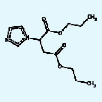 CCCOC(=O)CC(C(=O)OCCC)n1ccnc1